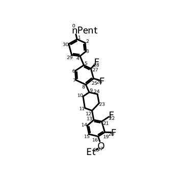 CCCCCc1ccc(-c2ccc(C3CCC(c4ccc(OCC)c(F)c4F)CC3)c(F)c2F)cc1